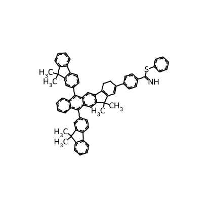 CC1(C)C2=C(CCC(c3ccc(C(=N)Sc4ccccc4)cc3)=C2)c2cc3c(-c4ccc5c(c4)C(C)(C)c4ccccc4-5)c4ccccc4c(-c4ccc5c(c4)C(C)(C)c4ccccc4-5)c3cc21